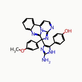 COc1ccc(C2(c3nc(N)[nH]c3-c3ccc(O)cc3)N=C3N=CC=C4c5ccccc5N=C2N43)cc1